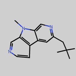 Cn1c2cnccc2c2cc(CC(C)(C)C)ncc21